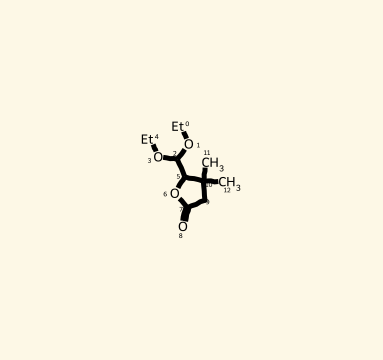 CCOC(OCC)C1OC(=O)CC1(C)C